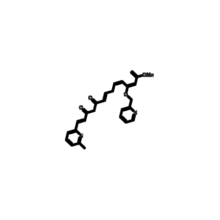 C=C(/C=C(\C=C/C/C=C/C(=O)CC(=O)/C=C/c1cccc(C)n1)OCc1ccccn1)OC